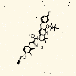 C#CCOc1ccc(C[C@H](N)C(=O)N2CC(C)(C)c3nc(O[Si](C)(C)C(C)(C)C)c(Cc4ccc(F)cc4)cc32)c(C)c1C